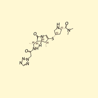 C[C@@H](NC(=O)Cn1ncnn1)[C@H]1C(=O)N2C=C(S[C@@H]3CN[C@H](C(=O)N(C)C)C3)[C@H](C)[C@H]12